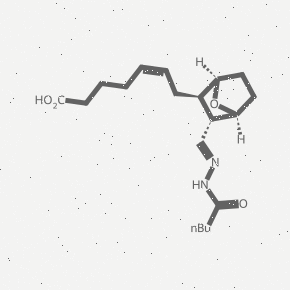 CCCCC(=O)NN=C[C@@H]1[C@@H](C/C=C\CCCC(=O)O)[C@H]2CC[C@@H]1O2